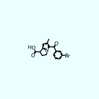 Cc1cc2n(c1C(=O)c1cccc(Br)c1)CCC2C(=O)O